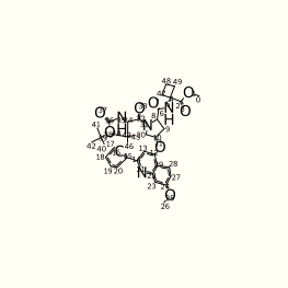 COC(=O)C1(NC(=O)C2CC(Oc3cc(-c4ccccc4)nc4cc(OC)ccc34)CN2C(=O)C(NC(=O)OC(C)(C)C)C(C)(C)C)CCC1